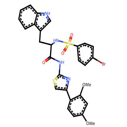 COc1ccc(-c2csc(NC(=O)C(Cc3c[nH]c4ccccc34)NS(=O)(=O)c3ccc(Br)cc3)n2)c(OC)c1